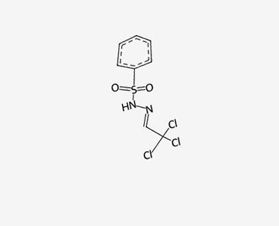 O=S(=O)(NN=CC(Cl)(Cl)Cl)c1ccccc1